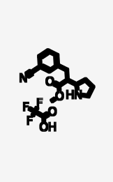 COC(=O)C(Cc1cccc(C#N)c1)C1CCCN1.O=C(O)C(F)(F)F